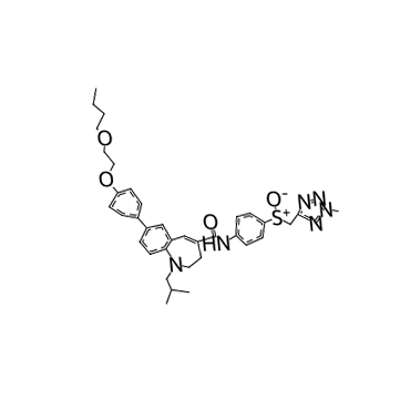 CCCCOCCOc1ccc(-c2ccc3c(c2)C=C(C(=O)Nc2ccc([S+]([O-])Cc4nnn(C)n4)cc2)CCN3CC(C)C)cc1